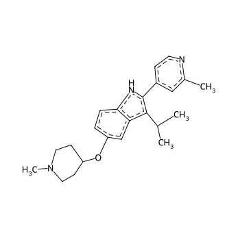 Cc1cc(-c2[nH]c3ccc(OC4CCN(C)CC4)cc3c2C(C)C)ccn1